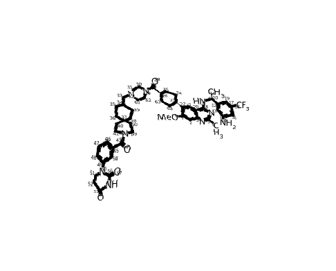 COc1cc2nc(C)nc(N[C@H](C)c3cc(N)cc(C(F)(F)F)c3)c2cc1[C@H]1CC[C@H](C(=O)N2CCN(CC3CCC4(CC3)CCN(C(=O)c3cccc(N5CCC(=O)NC5=O)c3)CC4)CC2)CC1